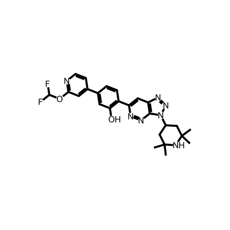 CC1(C)CC(n2nnc3cc(-c4ccc(-c5ccnc(OC(F)F)c5)cc4O)nnc32)CC(C)(C)N1